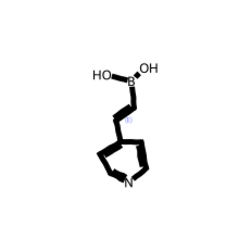 OB(O)/C=C/c1ccncc1